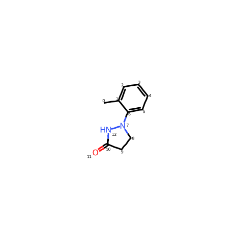 Cc1ccccc1N1CCC(=O)N1